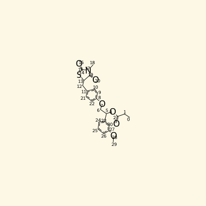 CCC(=O)OC(COc1ccc(CC2SC(=O)N(C)C2=O)cc1)c1cccc(OC)c1